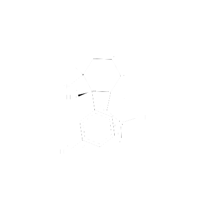 [2H]C1([2H])CCC[C@@]([2H])(CN(C)C)[C@]1(O)c1cccc(O)c1